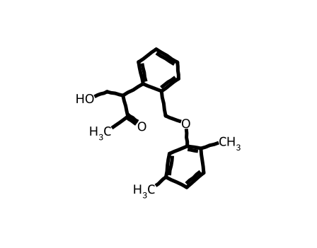 CC(=O)C(CO)c1ccccc1COc1cc(C)ccc1C